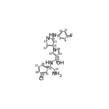 Cc1cnc(Nc2ccc(F)cc2)cc1-n1ccc(C(O)NC(CN)c2cccc(Cl)c2)c1